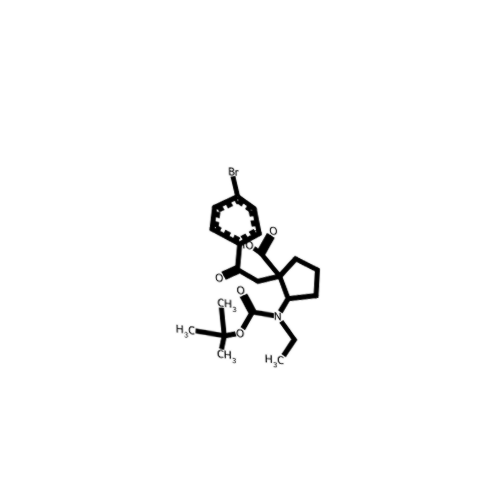 CCN(C(=O)OC(C)(C)C)C1CCCC1(CC(=O)c1ccc(Br)cc1)C(=O)O